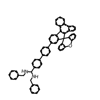 c1ccc(CNC(NCc2ccccc2)c2ccc(-c3ccc(-c4ccc5c(c4)C4(c6ccccc6Oc6ccccc64)c4c-5c5ccccc5c5ccccc45)cc3)cc2)cc1